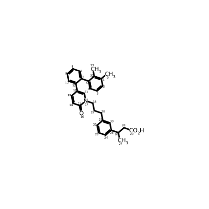 Cc1cccc(-c2ccccc2-c2ccc(=O)n(CCCc3cccc(C(C)CC(=O)O)c3)c2)c1C